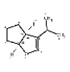 CC(C)C1=NO[C@H]2CCC[C@@H]12